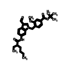 CCCCC(CC)C(=O)Nc1ccc2c(C=O)cn(Cc3ccc(C(=O)OC(C)(C)C)cc3OC)c2c1